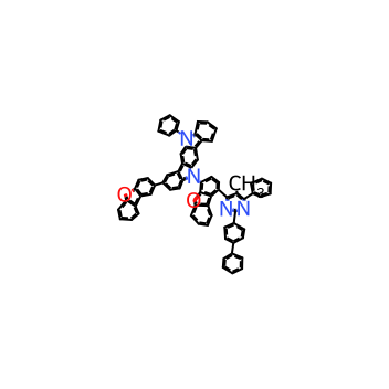 Cc1c(-c2ccccc2)nc(-c2ccc(-c3ccccc3)cc2)nc1-c1ccc(-n2c3ccc(-c4ccc5oc6ccccc6c5c4)cc3c3cc4c(cc32)c2ccccc2n4-c2ccccc2)c2oc3ccccc3c12